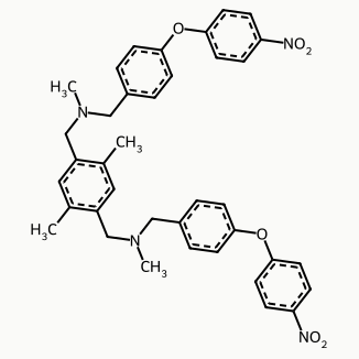 Cc1cc(CN(C)Cc2ccc(Oc3ccc([N+](=O)[O-])cc3)cc2)c(C)cc1CN(C)Cc1ccc(Oc2ccc([N+](=O)[O-])cc2)cc1